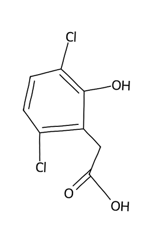 O=C(O)Cc1c(Cl)ccc(Cl)c1O